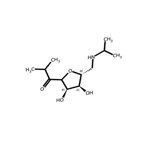 CC(C)NC[C@H]1OC(C(=O)C(C)C)[C@H](O)[C@@H]1O